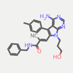 Cc1ccc(-c2c(C=C(C#N)C(=O)NCc3ccccc3)n(CCCO)c3ncnc(N)c23)cc1